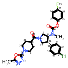 Cc1nnc(N2CCC(C(=O)N3C[C@@H](N(C)C(=O)Oc4ccc(F)cc4)[C@H](c4ccc(Cl)cc4)C3)CC2)o1